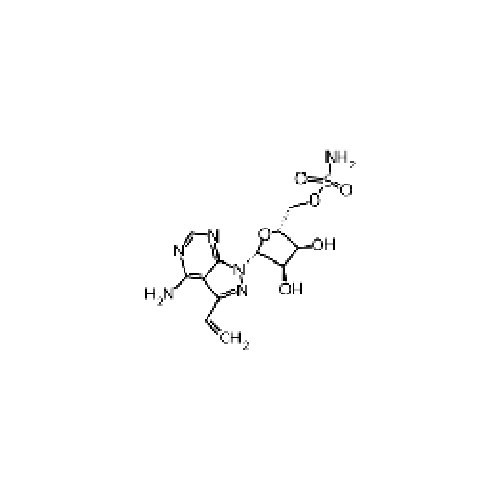 C=Cc1nn([C@@H]2O[C@H](COS(N)(=O)=O)[C@@H](O)[C@H]2O)c2ncnc(N)c12